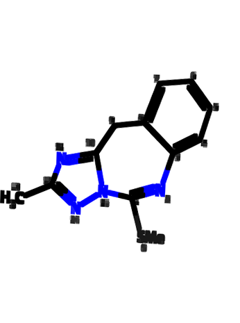 CSC1=Nc2ccccc2Cc2nc(C)nn21